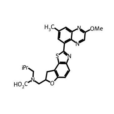 COc1cnc2c(-c3nc4ccc5c(c4s3)CC(CN(CC(C)C)C(=O)O)O5)cc(C)cc2n1